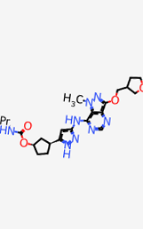 CC(C)NC(=O)O[C@@H]1CC[C@H](c2cc(Nc3ncnc4c(OCC5CCOC5)nn(C)c34)n[nH]2)C1